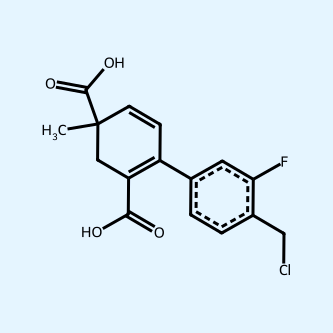 CC1(C(=O)O)C=CC(c2ccc(CCl)c(F)c2)=C(C(=O)O)C1